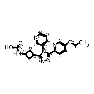 CCOc1ccc(-c2nnc(C3CC(NC(=O)O)C3)n2-c2cccnc2)nc1